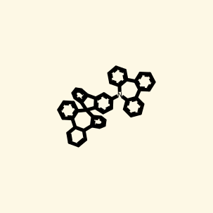 C1=CC2c3ccccc3C3(c4ccccc4-c4cc(N5c6ccccc6-c6ccccc6-c6ccccc65)ccc43)c3ccccc3C2C=C1